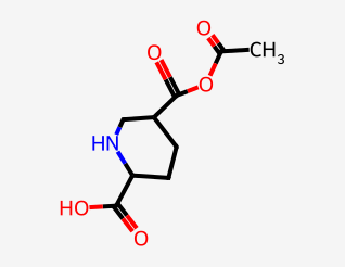 CC(=O)OC(=O)C1CCC(C(=O)O)NC1